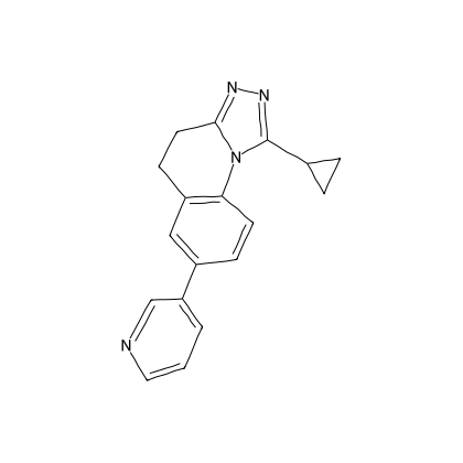 c1cncc(-c2ccc3c(c2)CCc2nnc(C4CC4)n2-3)c1